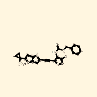 O=C(Nc1c(Cl)noc1C#Cc1cc2sc(C3(C(=O)O)CC3)cc2s1)OCc1ccccc1